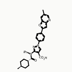 Cc1cnc2cc(-c3ccc(-n4cc(C(=O)O)c(N(C(=O)[C@H]5CC[C@H](C)CC5)C(C)C)n4)cc3)oc2c1